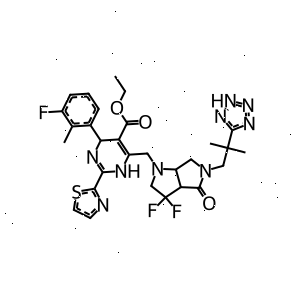 CCOC(=O)C1=C(CN2CC(F)(F)C3C(=O)N(CC(C)(C)c4nn[nH]n4)CC32)NC(c2nccs2)=NC1c1cccc(F)c1C